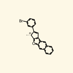 C[C@@H]1C(c2cccc(Br)c2)=Cc2c1oc1cc3ccccc3cc21